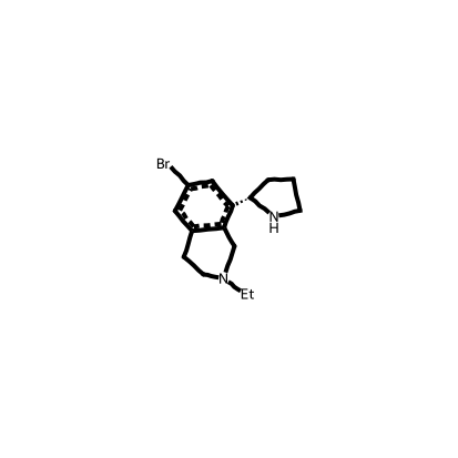 CCN1CCc2cc(Br)cc([C@@H]3CCCN3)c2C1